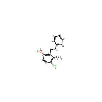 Cc1c(Cl)ccc(O)c1CCc1ccccc1